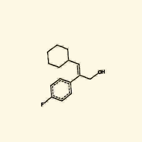 OC/C(=C/C1CCCCC1)c1ccc(F)cc1